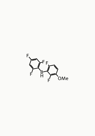 COc1ccc(F)c(Bc2c(F)cc(F)cc2F)c1F